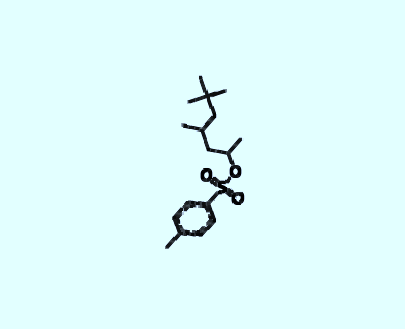 Cc1ccc(S(=O)(=O)OC(C)CC(C)CC(C)(C)C)cc1